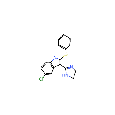 Clc1ccc2[nH]c(Sc3ccccc3)c(C3=NCCN3)c2c1